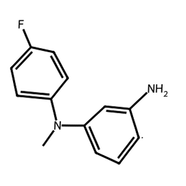 CN(c1ccc(F)cc1)c1cc[c]c(N)c1